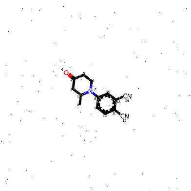 CC1CC(=O)CCN1c1ccc(C#N)c(C#N)c1